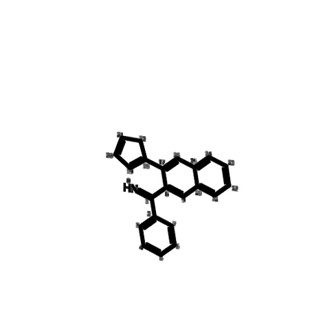 N=C(c1ccccc1)c1cc2ccccc2cc1C1=CC=CC1